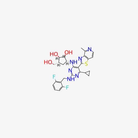 Cc1nccc2sc(-c3c(N[C@@H]4C[C@H](CO)[C@@H](O)[C@H]4O)nc(NCc4c(F)cccc4F)nc3C3CC3)nc12